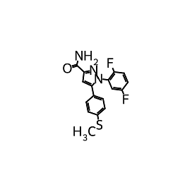 CSc1ccc(-c2cc(C(N)=O)nn2-c2cc(F)ccc2F)cc1